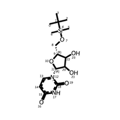 CC(C)(C)[Si](C)(C)OC[C@H]1O[C@@H](n2ccc(=O)[nH]c2=O)C(O)C1O